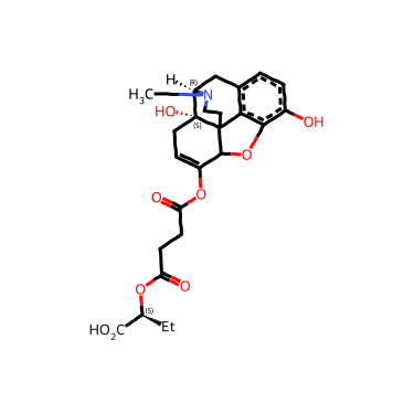 CC[C@H](OC(=O)CCC(=O)OC1=CC[C@@]2(O)[C@H]3Cc4ccc(O)c5c4C2(CCN3C)C1O5)C(=O)O